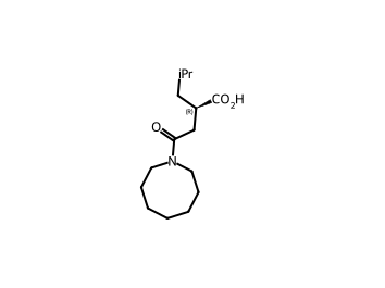 CC(C)C[C@H](CC(=O)N1CCCCCCC1)C(=O)O